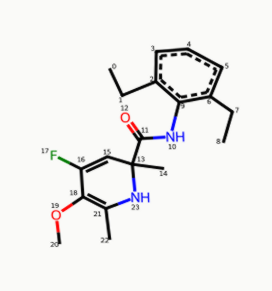 CCc1cccc(CC)c1NC(=O)C1(C)C=C(F)C(OC)=C(C)N1